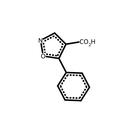 O=C(O)c1cnoc1-c1ccccc1